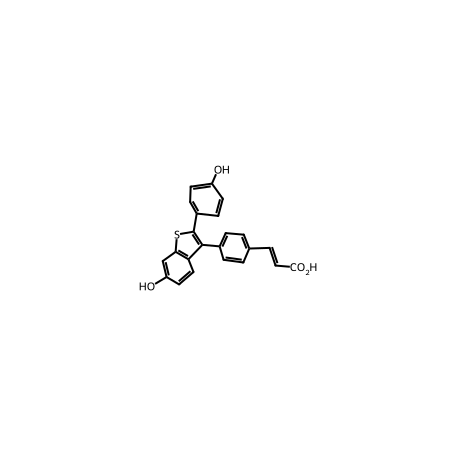 O=C(O)/C=C/c1ccc(-c2c(-c3ccc(O)cc3)sc3cc(O)ccc23)cc1